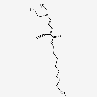 CCCCCCCCCOC(=O)/C(C#N)=C/C=C/N(CC)CC